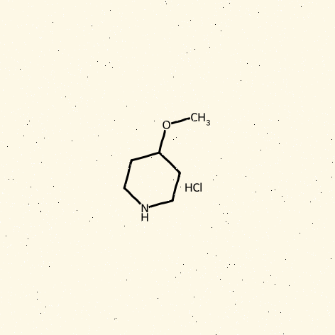 COC1CCNCC1.Cl